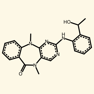 CC(O)c1ccccc1Nc1ncc2c(n1)N(C)c1ccccc1C(=O)N2C